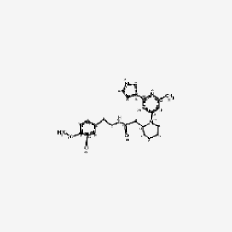 COc1ccc(CCNC(=O)CC2CCCCN2c2cc(C)nc(-n3ccnc3)n2)cc1Cl